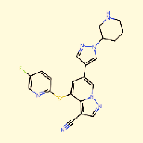 N#Cc1cnn2cc(-c3cnn(C4CCCNC4)c3)cc(Sc3ccc(F)cn3)c12